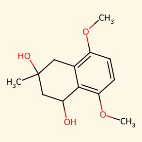 COc1ccc(OC)c2c1CC(C)(O)CC2O